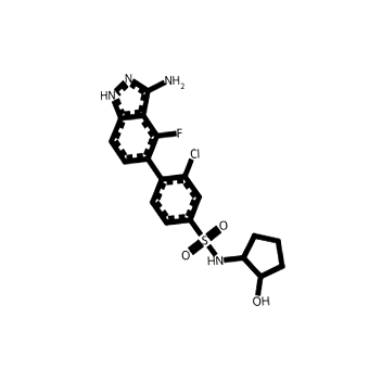 Nc1n[nH]c2ccc(-c3ccc(S(=O)(=O)NC4CCCC4O)cc3Cl)c(F)c12